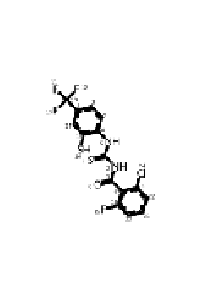 O=C(NC(=S)Nc1ccc(C(F)(F)F)cc1S)c1c(F)cccc1Cl